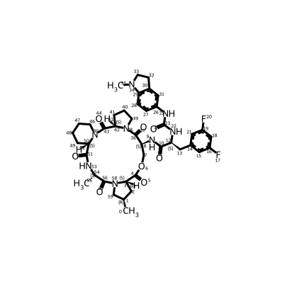 C[C@@H]1C[C@H]2C(=O)OC[C@H](NC(=O)[C@H](Cc3cc(F)cc(F)c3)NC(=O)Nc3ccc4c(c3)CCN4C)C(=O)N3CCC[C@H]3C(=O)N3CCCC[C@H]3C(=O)N[C@@H](C)C(=O)N2C1